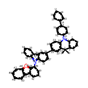 CC1(C)c2ccccc2N(c2ccc(-c3ccccc3)cc2)c2ccc(-c3ccc4c(c3)c3ccccc3n4-c3cccc4c3oc3ccccc34)cc21